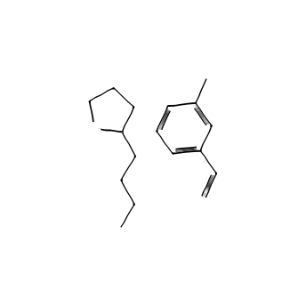 C=Cc1cccc(C)c1.CCCCC1CCCO1